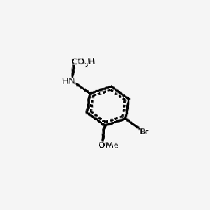 COc1cc(NC(=O)O)ccc1Br